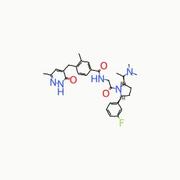 Cc1cc(Cc2ccc(C(=O)NCC(=O)N3[C@@H](C(C)N(C)C)CC[C@H]3c3cccc(F)c3)cc2C)c(=O)[nH]n1